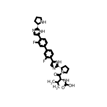 CC(C)[C@H](NC(=O)O)C(=O)N1CCC[C@H]1c1ncc(-c2ccc(-c3ccc(-c4cnc([C@@H]5CCCN5)[nH]4)c(F)c3)cc2F)[nH]1